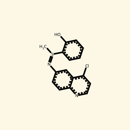 CS(=Nc1ccc2nccc(Cl)c2c1)c1ccccc1O